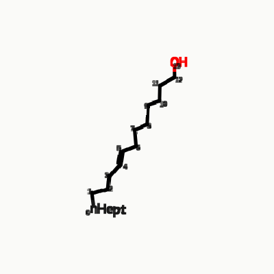 CCCCCCCCCCC=CCCCCCCCO